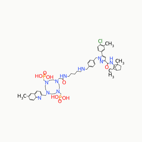 CC1=C(NC(=O)c2cc(-c3ccc(Cl)c(C)c3)n(Cc3ccc(CNCCCCCNC(=O)CN4CCN(CP(=O)(O)O)CCN(Cc5ccc6cc(C)ccc6n5)CCN(CP(=O)(O)O)CC4)cc3)n2)C2(C)CCC1C2